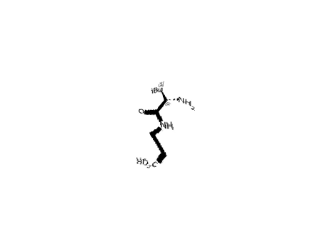 CC[C@H](C)[C@H](N)C(=O)NCCC(=O)O